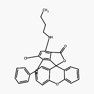 CCCCNc1cc(Cl)c(Nc2ccccc2)c2c1C(=O)OC21c2ccccc2Oc2ccccc21